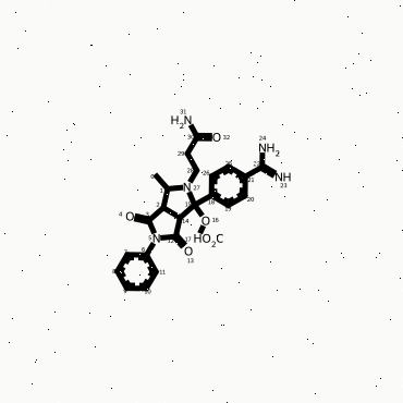 CC1C2C(=O)N(c3ccccc3)C(=O)C2C(OC(=O)O)(c2ccc(C(=N)N)cc2)N1CCC(N)=O